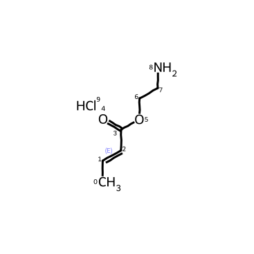 C/C=C/C(=O)OCCN.Cl